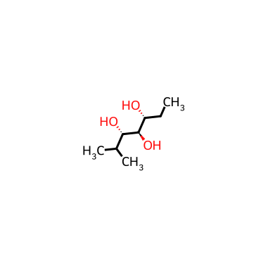 CC[C@@H](O)[C@@H](O)[C@@H](O)C(C)C